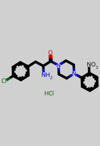 Cl.NC(Cc1ccc(Cl)cc1)C(=O)N1CCN(c2ccccc2[N+](=O)[O-])CC1